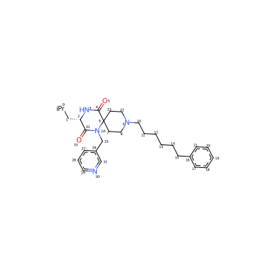 CC(C)C[C@@H]1NC(=O)C2(CCN(CCCCCCc3ccccc3)CC2)N(Cc2cccnc2)C1=O